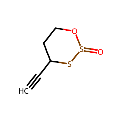 C#CC1CCOS(=O)S1